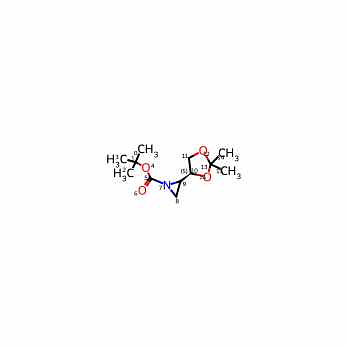 CC(C)(C)OC(=O)N1CC1[C@H]1COC(C)(C)O1